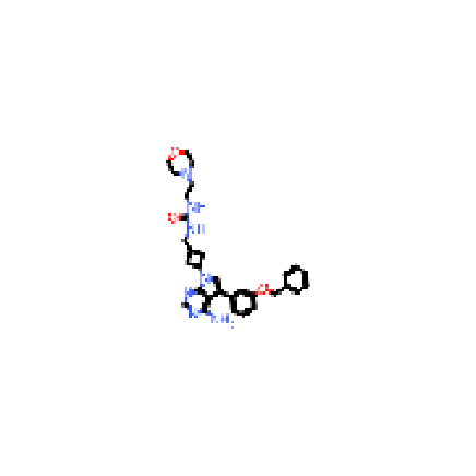 Nc1ncnc2c1c(-c1cccc(OCc3ccccc3)c1)cn2C1CC(CNC(=O)NCCN2CCOCC2)C1